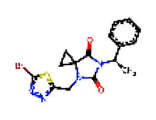 C[C@H](c1ccccc1)N1C(=O)N(Cc2nnc(Br)s2)C2(CC2)C1=O